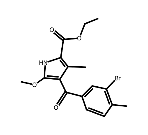 CCOC(=O)c1[nH]c(OC)c(C(=O)c2ccc(C)c(Br)c2)c1C